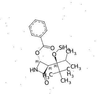 CC(C)[C@@](O[SiH3])([C@H]1C(=O)N[C@@H]1OC(=O)c1ccccc1)C(C)(C)C